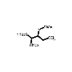 CCCCCCCC(CCCCCC)C(CC(Cl)(Cl)Cl)SSC